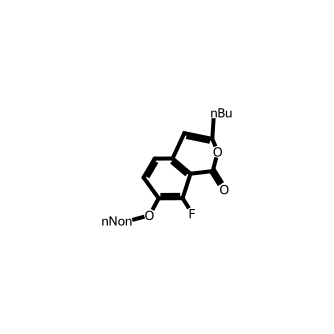 CCCCCCCCCOc1ccc2cc(CCCC)oc(=O)c2c1F